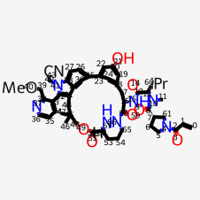 C=CC(=O)N1CC[C@H](C(=O)N(C)C(C(=O)N[C@H]2Cc3cc(O)cc(c3)-c3ccc4c(c3)c(c(-c3cccnc3COC)n4CC#N)CC(C)(C)COC(=O)[C@@H]3CCCN(N3)C2=O)C(C)C)C1